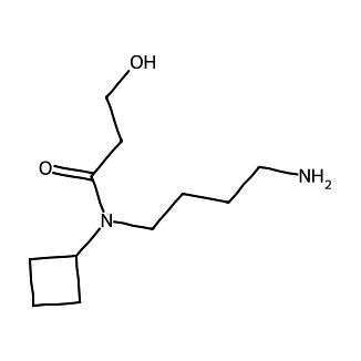 NCCCCN(C(=O)CCO)C1CCC1